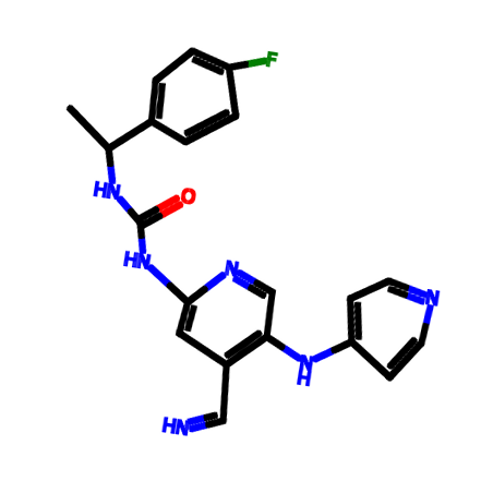 CC(NC(=O)Nc1cc(C=N)c(Nc2ccncc2)cn1)c1ccc(F)cc1